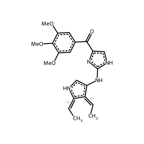 C/C=c1/c(Nc2nc(C(=O)c3cc(OC)c(OC)c(OC)c3)c[nH]2)c[nH]/c1=C/C